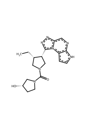 CC[C@H]1CN(C(=O)N2CC[C@H](O)C2)C[C@H]1c1nnc2cnc3[nH]ccc3n12